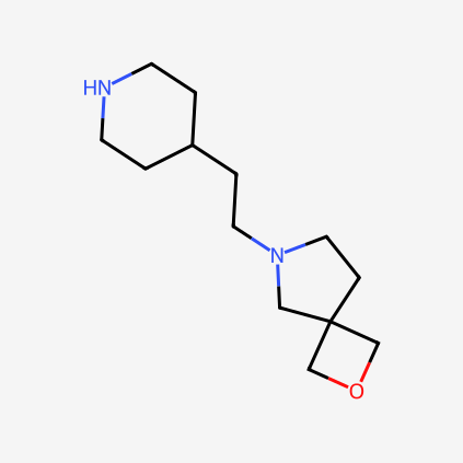 C1CC(CCN2CCC3(COC3)C2)CCN1